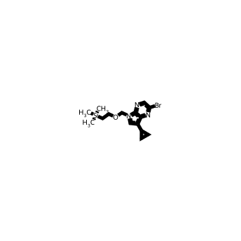 C[Si](C)(C)CCOCn1cc(C2CC2)c2nc(Br)cnc21